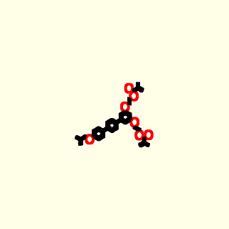 C=C(C)COc1ccc(-c2ccc(-c3cc(OCCOC(=O)C(=C)C)cc(OCCOC(=O)C(=C)C)c3)cc2)cc1